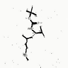 CNCCC(C)C[C@H](NC(=O)OC(C)(C)C)C(C)C